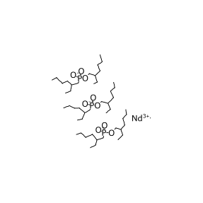 CCCCC(CC)COP(=O)([O-])CC(CC)CCCC.CCCCC(CC)COP(=O)([O-])CC(CC)CCCC.CCCCC(CC)COP(=O)([O-])CC(CC)CCCC.[Nd+3]